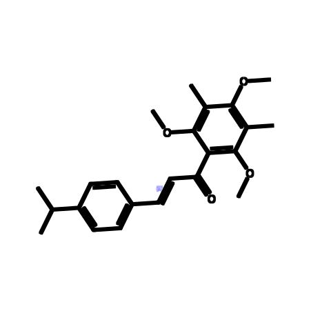 COc1c(C)c(OC)c(C(=O)/C=C/c2ccc(C(C)C)cc2)c(OC)c1C